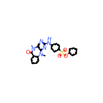 CN1C(=O)c2ccccc2N(C)c2nc(Nc3ccc(S(=O)(=O)Oc4ccccc4)cc3)ncc21